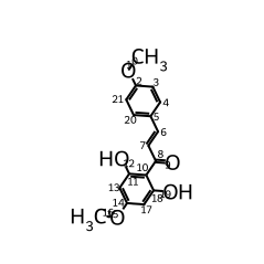 COc1ccc(C=CC(=O)c2c(O)cc(OC)cc2O)cc1